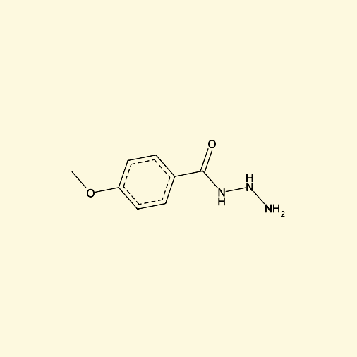 COc1ccc(C(=O)NNN)cc1